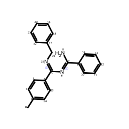 Cc1ccc(C(/N=C(\N)c2ccccc2)=N/Cc2ccccc2)cc1